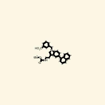 CC(C)(C)OC(=O)NCCc1cn(Cc2cccc(C(=O)O)c2)c2ccc(-c3cccc4ccccc34)cc12